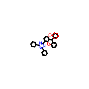 c1ccc(-c2nc(-c3ccccc3)nc(-c3ccc4c5c3Oc3ccccc3C5(c3ccccc3)c3ccccc3O4)n2)cc1